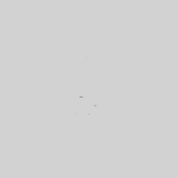 CC(C)(C)NC(=O)OC1CCCC(=S)C1